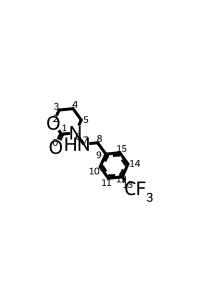 O=C1OCCCN1NCc1ccc(C(F)(F)F)cc1